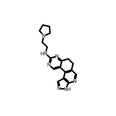 c1nc2[nH]ncc2c2c1CCc1nc(NCCN3CCCC3)ncc1-2